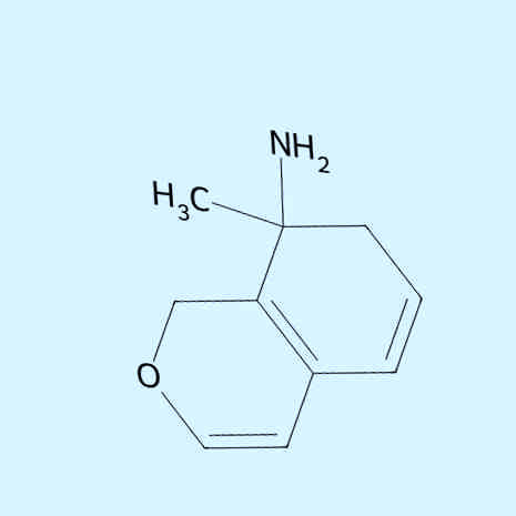 CC1(N)CC=CC2=C1COC=C2